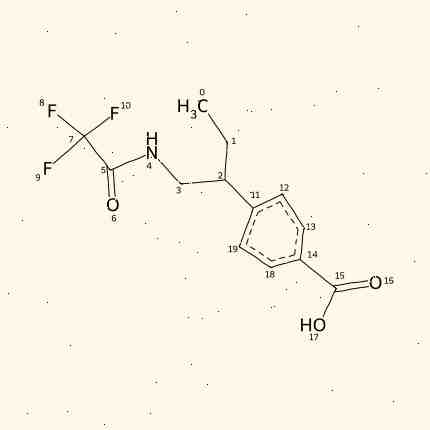 CCC(CNC(=O)C(F)(F)F)c1ccc(C(=O)O)cc1